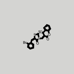 O=C1Oc2ccccc2C(=O)/C1=C\N1C(=O)/C(=C\c2ccccc2Br)SC1=S